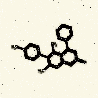 Cc1ccc(-c2c(C)cc3oc(=O)cc(-c4ccccc4)c3c2C)cc1